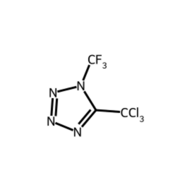 FC(F)(F)n1nnnc1C(Cl)(Cl)Cl